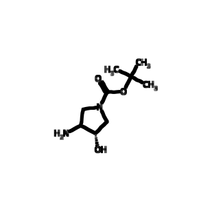 CC(C)(C)OC(=O)N1CC(N)[C@@H](O)C1